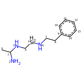 CC(N)NC[SiH2]NCCc1ccccc1